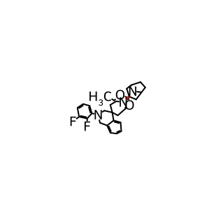 CCOC(=O)N1C2CCC1CC(N1CCC3(CC1)CN(c1cccc(F)c1F)Cc1ccccc13)C2